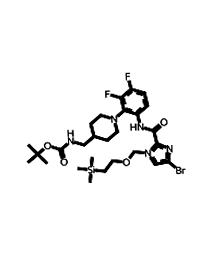 CC(C)(C)OC(=O)NCC1CCN(c2c(NC(=O)c3nc(Br)cn3COCC[Si](C)(C)C)ccc(F)c2F)CC1